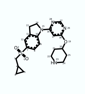 O=S(=O)(CC1CC1)c1ccc2c(c1)CCN2c1cc(OC2CCNCC2)ncn1